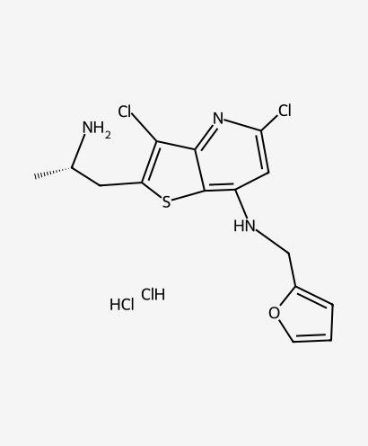 C[C@H](N)Cc1sc2c(NCc3ccco3)cc(Cl)nc2c1Cl.Cl.Cl